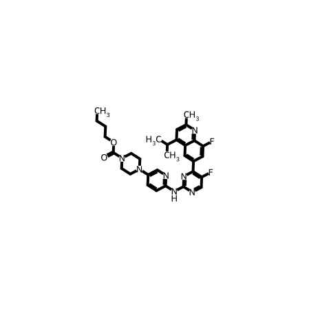 CCCCOC(=O)N1CCN(c2ccc(Nc3ncc(F)c(-c4cc(F)c5nc(C)cc(C(C)C)c5c4)n3)nc2)CC1